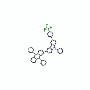 FC(F)(F)c1ccc(-c2ccc3c(c2)c2cc(-c4ccc5c(-c6ccccc6)c6ccccc6c(-c6ccccc6)c5c4)ccc2n3-c2ccccc2)cc1